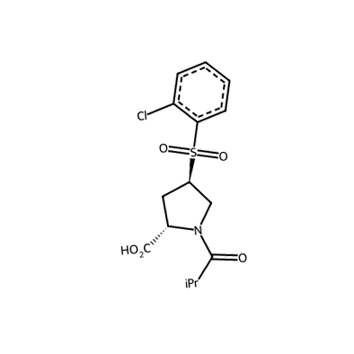 CC(C)C(=O)N1C[C@H](S(=O)(=O)c2ccccc2Cl)C[C@H]1C(=O)O